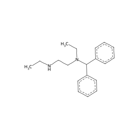 CCNCCN(CC)C(c1ccccc1)c1ccccc1